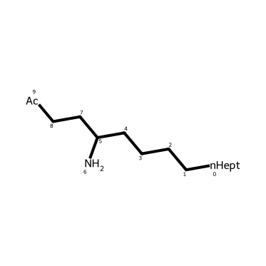 CCCCCCCCCCCC(N)CCC(C)=O